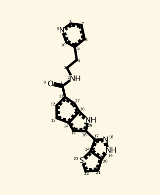 O=C(NCCc1cccnc1)c1ccc2cc(-c3n[nH]c4ccsc34)[nH]c2c1